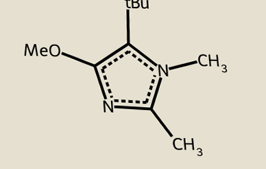 COc1nc(C)n(C)c1C(C)(C)C